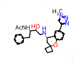 CC(=O)N[C@@H](Cc1ccccc1)[C@@H](O)CN[C@H]1CC2(CCC2)Oc2ccc(-c3cn(C)nn3)cc21